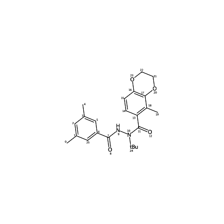 Cc1cc(C)cc(C(=O)NN(C(=O)c2ccc3c(c2C)OCCO3)C(C)(C)C)c1